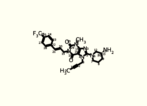 CC#CCn1c(N2CCC[C@@H](N)C2)nc2c1c(=O)n(CC=Cc1ccc(C(F)(F)F)cc1)c(=O)n2C